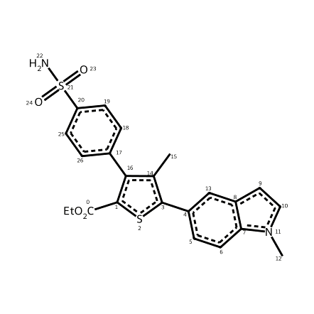 CCOC(=O)c1sc(-c2ccc3c(ccn3C)c2)c(C)c1-c1ccc(S(N)(=O)=O)cc1